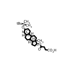 CC(C)(C)[Si](C)(C)OC1CC[C@@]2(C)[C@@H](CC[C@@H]3[C@@H]2CC[C@]2(C)[C@@H](OC(=O)CCC(=O)O)CC[C@@H]32)C1